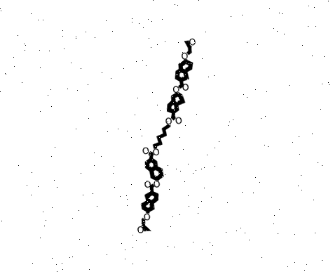 O=C(OCCCCCCOC(=O)c1ccc2cc(OC(=O)c3ccc4cc(OCC5CO5)ccc4c3)ccc2c1)c1ccc2cc(OC(=O)c3ccc4cc(OCC5CO5)ccc4c3)ccc2c1